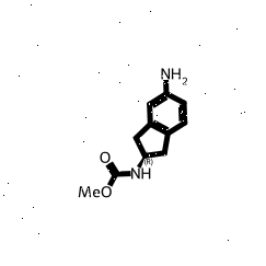 COC(=O)N[C@@H]1Cc2ccc(N)cc2C1